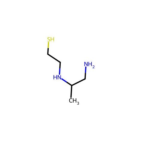 CC(CN)NCCS